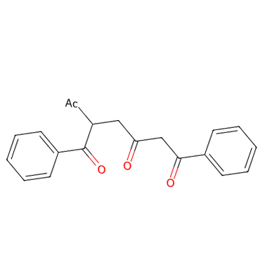 CC(=O)C(CC(=O)CC(=O)c1ccccc1)C(=O)c1ccccc1